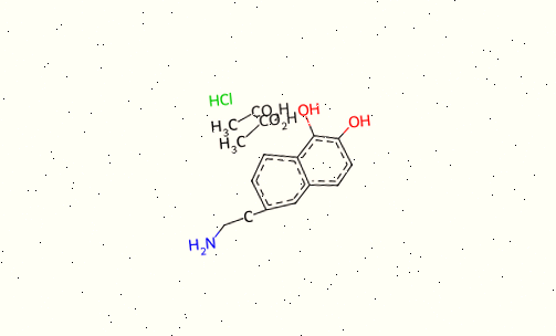 CC(=O)O.CC(=O)O.Cl.NCCc1ccc2c(O)c(O)ccc2c1